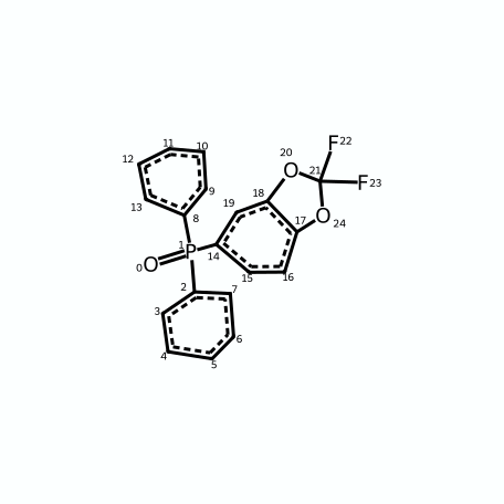 O=P(c1ccccc1)(c1ccccc1)c1ccc2c(c1)OC(F)(F)O2